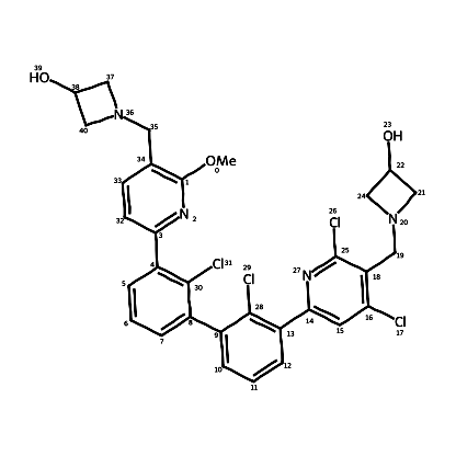 COc1nc(-c2cccc(-c3cccc(-c4cc(Cl)c(CN5CC(O)C5)c(Cl)n4)c3Cl)c2Cl)ccc1CN1CC(O)C1